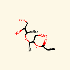 C=CC(=O)OC(CO)C(CCCC)OC(CCCC)C(O)CO